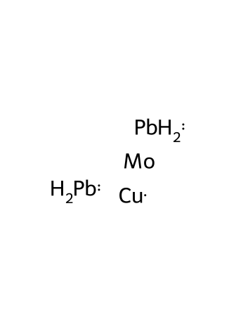 [Cu].[Mo].[PbH2].[PbH2]